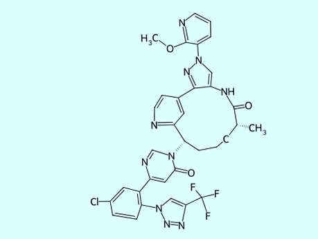 COc1ncccc1-n1cc2c(n1)-c1ccnc(c1)[C@@H](n1cnc(-c3cc(Cl)ccc3-n3cc(C(F)(F)F)nn3)cc1=O)CCC[C@@H](C)C(=O)N2